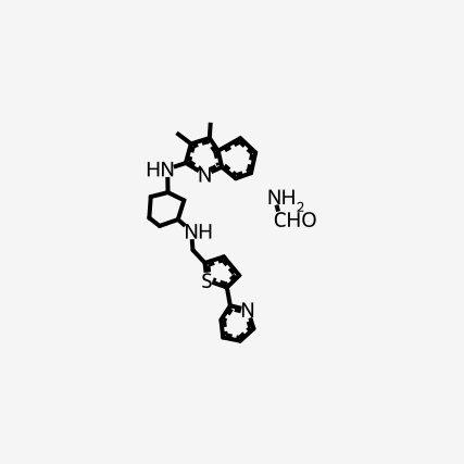 Cc1c(NC2CCCC(NCc3ccc(-c4ccccn4)s3)C2)nc2ccccc2c1C.NC=O